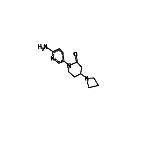 Nc1ccc(N2CCC(N3CCC3)CC2=O)cn1